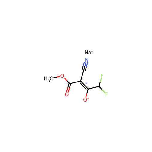 COC(=O)/C(C#N)=C(\[O-])C(F)F.[Na+]